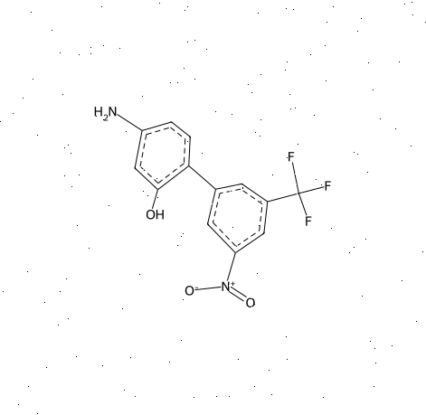 Nc1ccc(-c2cc([N+](=O)[O-])cc(C(F)(F)F)c2)c(O)c1